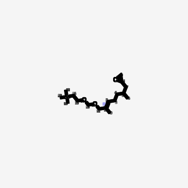 C/C(=C\CCC(C)CC1CO1)COCOCC[Si](C)(C)C